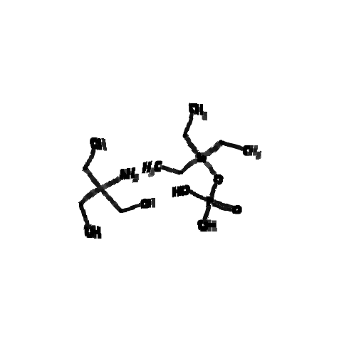 CC[Si](CC)(CC)OP(=O)(O)O.NC(CO)(CO)CO